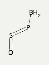 BP=S=O